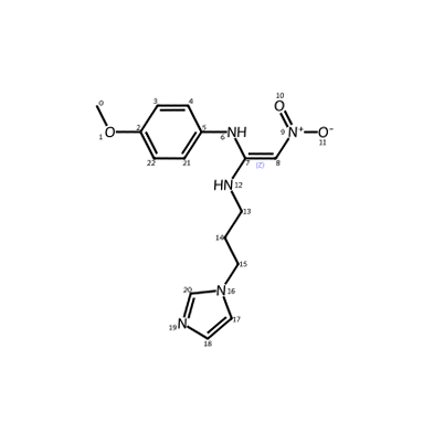 COc1ccc(N/C(=C\[N+](=O)[O-])NCCCn2ccnc2)cc1